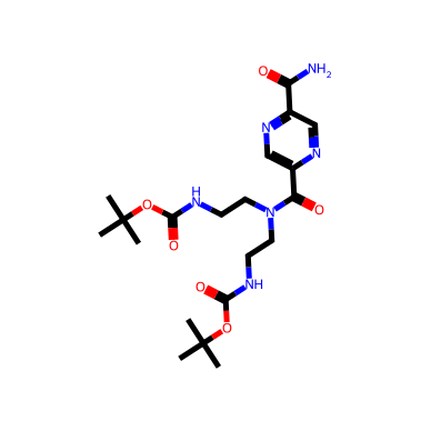 CC(C)(C)OC(=O)NCCN(CCNC(=O)OC(C)(C)C)C(=O)c1cnc(C(N)=O)cn1